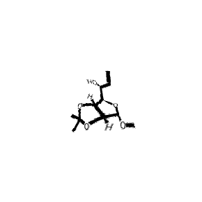 C=C[C@@H](O)[C@H]1O[C@@H](OC)[C@@H]2OC(C)(C)O[C@@H]21